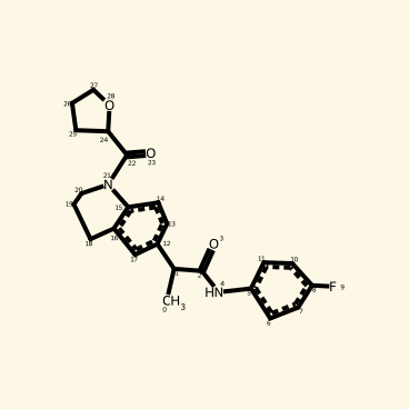 CC(C(=O)Nc1ccc(F)cc1)c1ccc2c(c1)CCCN2C(=O)C1CCCO1